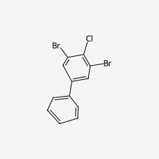 Clc1c(Br)cc(-c2ccccc2)cc1Br